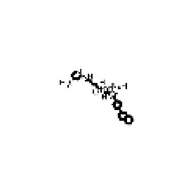 Cc1ccnc(NCCCCC(=O)NCC(=O)NC(CC(=O)O)c2ccc(-c3ccc4ccccc4c3)cc2)c1.[NaH]